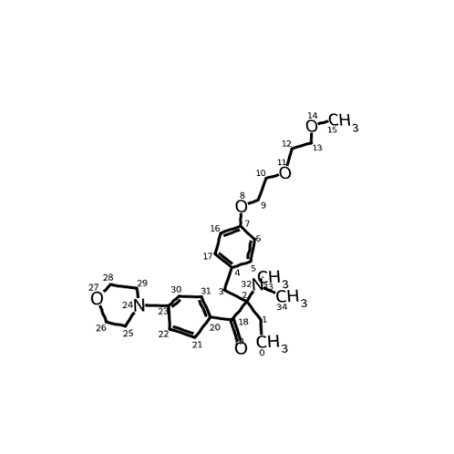 CCC(Cc1ccc(OCCOCCOC)cc1)(C(=O)c1ccc(N2CCOCC2)cc1)N(C)C